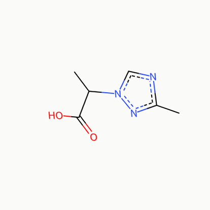 Cc1ncn(C(C)C(=O)O)n1